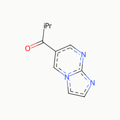 CC(C)C(=O)c1cnc2nccn2c1